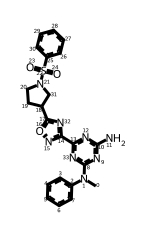 CN(c1ccccc1)c1nc(N)nc(-c2noc(C3CCN(S(=O)(=O)c4ccccc4)C3)n2)n1